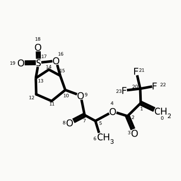 C=C(C(=O)OC(C)C(=O)OC1CCC2CC1OS2(=O)=O)C(F)(F)F